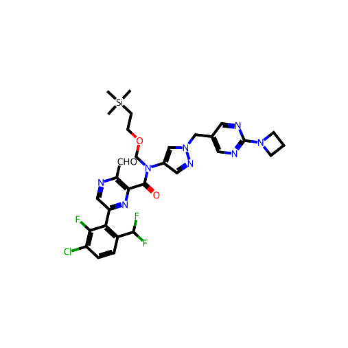 C[Si](C)(C)CCOCN(C(=O)c1nc(-c2c(C(F)F)ccc(Cl)c2F)cnc1C=O)c1cnn(Cc2cnc(N3CCC3)nc2)c1